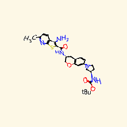 Cc1ccc2c(N)c(C(=O)N[C@H]3COc4cc(N5CC[C@@H](NC(=O)OC(C)(C)C)C5)ccc4C3)sc2n1